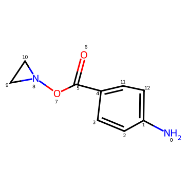 Nc1ccc(C(=O)ON2CC2)cc1